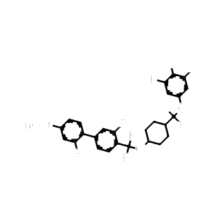 CCCCCCCCc1ccc(-c2ccc(C(F)(F)OC3CCC(C(F)(F)Oc4cc(F)c(F)c(F)c4)CC3)c(F)c2)c(F)c1